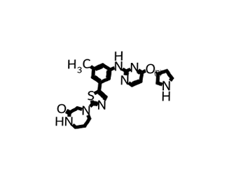 Cc1cc(Nc2nccc(O[C@@H]3CCNC3)n2)cc(-c2cnc(N3CCCNC(=O)C3)s2)c1